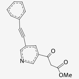 COC(=O)CC(=O)c1cncc(C#Cc2ccccc2)c1